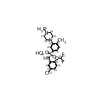 Cc1ccc(S(=O)(=O)Nc2cc(Cl)ccc2OC(F)F)cc1N1CCN(C)CC1.Cl